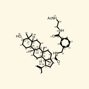 C=C(C)[C@@H]1CC[C@]2(C(=O)NCc3cccc(C(=O)NCCNC(C)=O)c3)CC[C@]3(C)[C@H](CC[C@@H]4[C@@]5(C)CC[C@H](O)C(C)(C)[C@@H]5CC[C@]43C)[C@@H]12